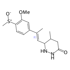 COc1cc(/C(C)=C/C2NNC(=O)CC2C)ccc1[S+](C)[O-]